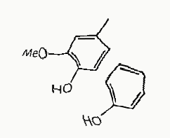 COc1cc(C)ccc1O.Oc1ccccc1